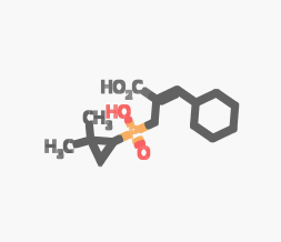 CC1(C)CC1P(=O)(O)C/C(=C\C1CCCCC1)C(=O)O